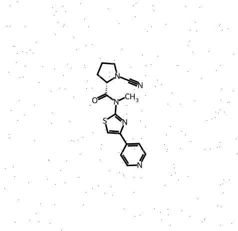 CN(C(=O)[C@@H]1CCCN1C#N)c1nc(-c2ccncc2)cs1